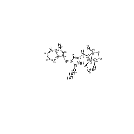 Cl.Cl.O=C1NC(N[C@H]2[C@@H]3CC[C@@H](C3)[C@H]2CO)=NC1=Cc1c[nH]c2ncccc12